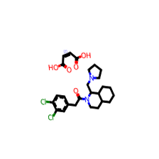 O=C(Cc1ccc(Cl)c(Cl)c1)N1CCC2CCCCC2C1CN1CCCC1.O=C(O)/C=C\C(=O)O